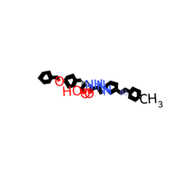 Cc1ccc(/C=C/c2ccc3nc(C(=O)N[C@@H](Cc4ccc(OCc5ccccc5)cc4)C(=O)O)cn3c2)cc1